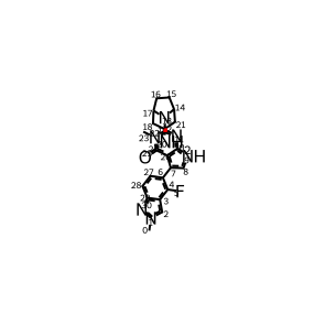 Cn1cc2c(F)c(-c3c[nH]c4nc(N5C6CCC5CC(N)C6)n(C)c(=O)c34)ccc2n1